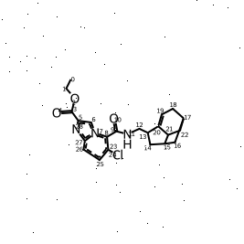 CCOC(=O)c1cn2c(C(=O)NCC3CC4CC5CC=C3C4C5)c(Cl)ccc2n1